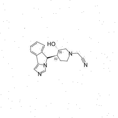 N#CCN1CC[C@@H](C2c3ccccc3-c3cncn32)[C@H](O)C1